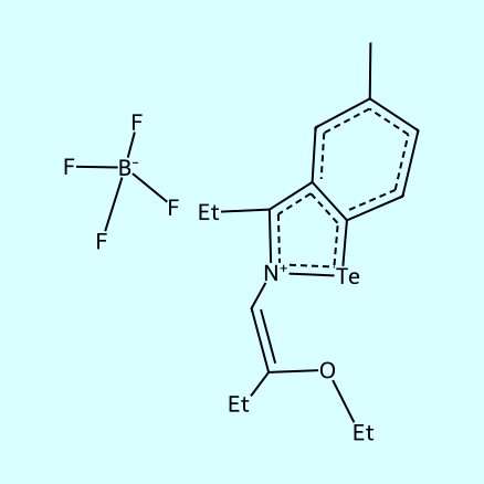 CCOC(=C[n+]1[te]c2ccc(C)cc2c1CC)CC.F[B-](F)(F)F